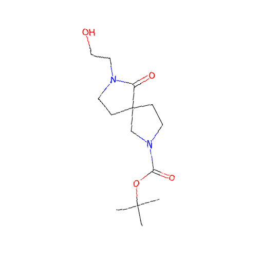 CC(C)(C)OC(=O)N1CCC2(CCN(CCO)C2=O)C1